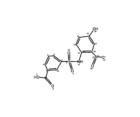 O=C(O)c1cccc(S(=O)(=O)Nc2ccc(O)cc2[N+](=O)[O-])c1